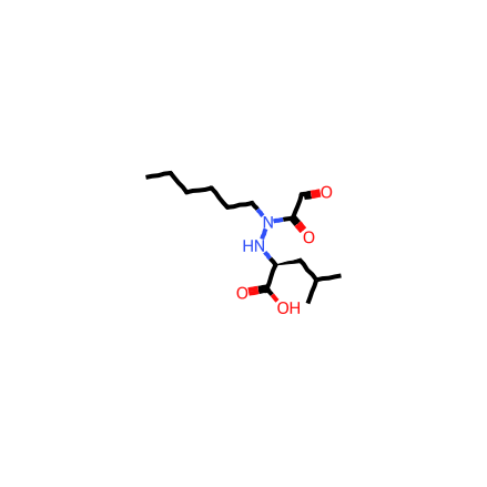 CCCCCCN(N[C@@H](CC(C)C)C(=O)O)C(=O)C=O